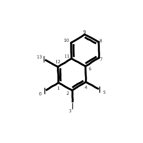 Ic1c(I)c(I)c2ccccc2c1I